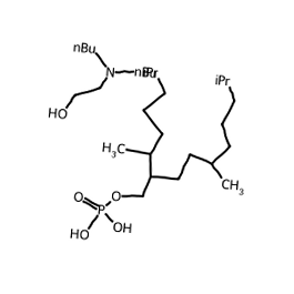 CC(C)CCCC(C)CCC(COP(=O)(O)O)C(C)CCCC(C)C.CCCCN(CCO)CCCC